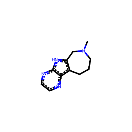 CN1CCCc2c([nH]c3nccnc23)C1